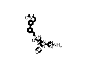 CC(=O)N1c2ccc(-c3cccc(CCNC(=O)c4sc5c(N6CCOCC6)nc(-c6cnc(N)nc6)nc5c4C)c3)cc2CC[C@@H]1C